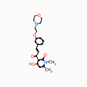 Cc1cc(O)c(C(=O)/C=C/c2cccc(OCCN3CCOCC3)c2)c(=O)n1C